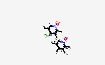 Cc1c[n+]([O-])c(C)c(C)c1Br.Cc1c[n+]([O-])c(C)c(C)c1C